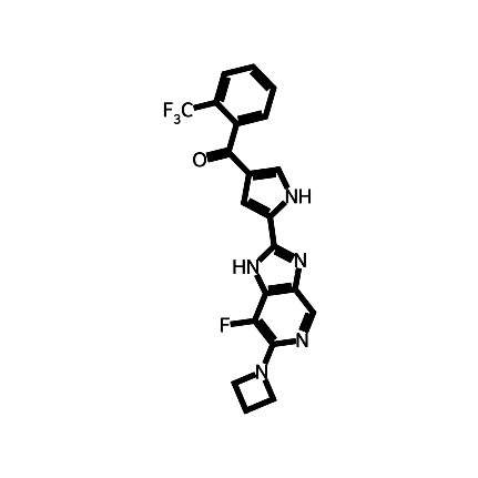 O=C(c1c[nH]c(-c2nc3cnc(N4CCC4)c(F)c3[nH]2)c1)c1ccccc1C(F)(F)F